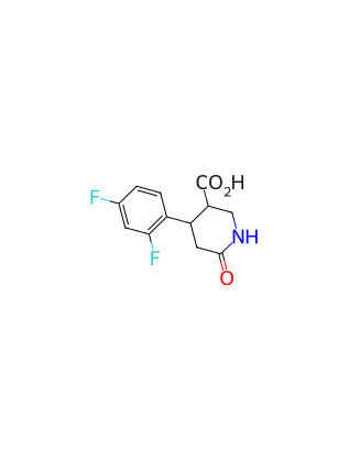 O=C1CC(c2ccc(F)cc2F)C(C(=O)O)CN1